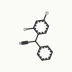 N#CC(c1ccccc1)c1ccc(Cl)cc1Cl